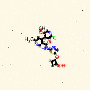 COc1cnc(Cl)cc1-c1cc(C)ncc1C(=O)Nc1nnc(O[C@H]2CC[C@@H]2O)s1